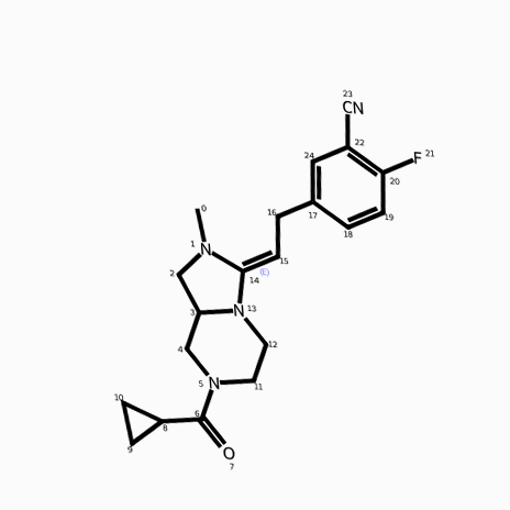 CN1CC2CN(C(=O)C3CC3)CCN2/C1=C/Cc1ccc(F)c(C#N)c1